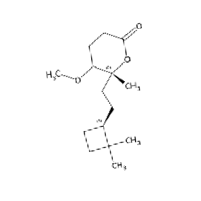 COC1CCC(=O)O[C@]1(C)CC[C@@H]1CCC1(C)C